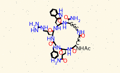 CC(=O)N[C@H]1CCC(=O)NCCC[C@@H](C(N)=O)NC(=O)[C@H](Cc2c[nH]c3ccccc23)NC(=O)[C@H](CCCNC(=N)N)NC(=O)[C@@H](Cc2ccccc2)NC(=O)[C@H](CCC(N)=O)NC1=O